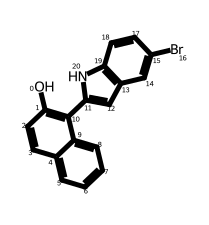 Oc1ccc2ccccc2c1-c1cc2cc(Br)ccc2[nH]1